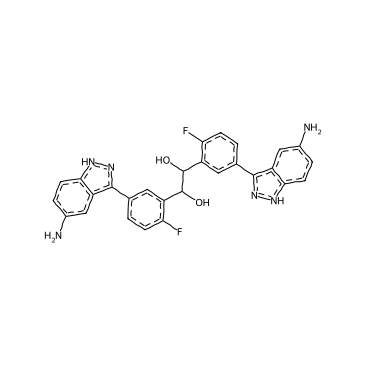 Nc1ccc2[nH]nc(-c3ccc(F)c(C(O)C(O)c4cc(-c5n[nH]c6ccc(N)cc56)ccc4F)c3)c2c1